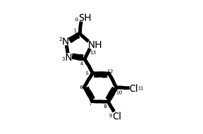 Sc1nnc(-c2ccc(Cl)c(Cl)c2)[nH]1